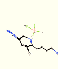 CC1=CC(=[N+]=[N-])CN=C1CCCCN.F[B-](F)(F)F